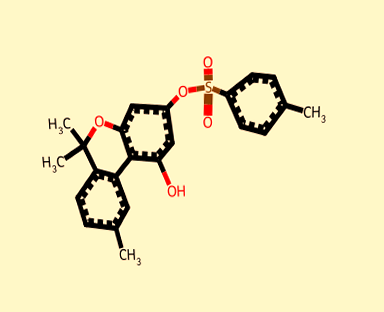 Cc1ccc(S(=O)(=O)Oc2cc(O)c3c(c2)OC(C)(C)c2ccc(C)cc2-3)cc1